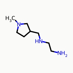 CN1CCC(CNCCN)C1